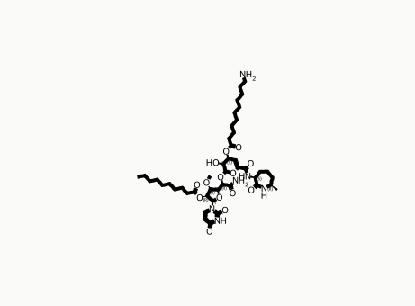 CCCCCCCCCC(=O)O[C@@H]1[C@H](OC)[C@@H]([C@@H](OC2OC(C(=O)N[C@H]3CCC[C@@H](C)NC3=O)=C[C@H](OC(=O)CCCCCCCCCCN)[C@@H]2O)C(N)=O)O[C@H]1n1ccc(=O)[nH]c1=O